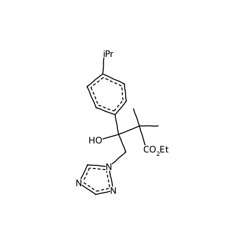 CCOC(=O)C(C)(C)C(O)(Cn1cncn1)c1ccc(C(C)C)cc1